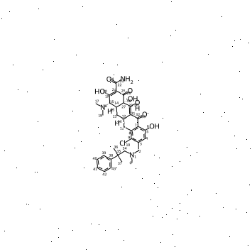 CN(Cc1cc(O)c2c(c1Cl)C[C@H]1C[C@H]3[C@H](N(C)C)C(O)=C(C(N)=O)C(=O)[C@@]3(O)C(O)=C1C2=O)CC(C)(C)c1ccccc1